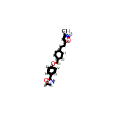 Cc1cc(CCC2CCC(COc3ccc(C4=NCCO4)cc3)CC2)on1